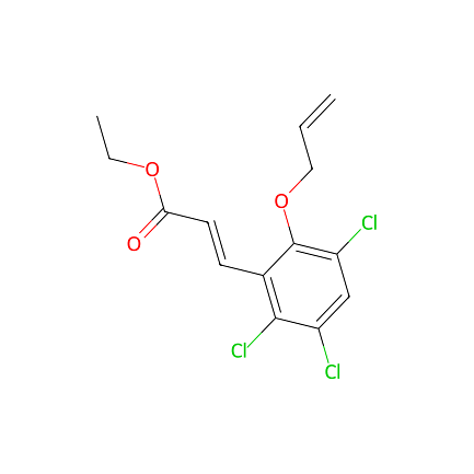 C=CCOc1c(Cl)cc(Cl)c(Cl)c1C=CC(=O)OCC